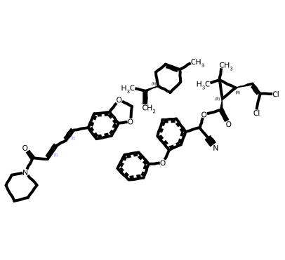 C=C(C)[C@H]1CC=C(C)CC1.CC1(C)[C@H](C(=O)OC(C#N)c2cccc(Oc3ccccc3)c2)[C@@H]1C=C(Cl)Cl.O=C(/C=C/C=C/c1ccc2c(c1)OCO2)N1CCCCC1